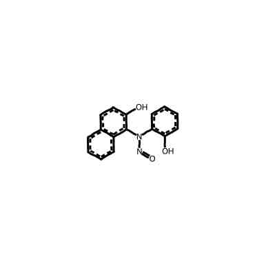 O=NN(c1ccccc1O)c1c(O)ccc2ccccc12